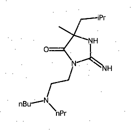 CCCCN(CCC)CCN1C(=N)NC(C)(CC(C)C)C1=O